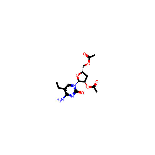 CCc1cn([C@@H]2O[C@H](COC(C)=O)C[C@H]2OC(C)=O)c(=O)nc1N